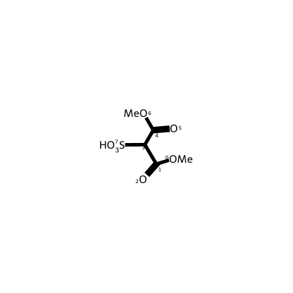 COC(=O)C(C(=O)OC)S(=O)(=O)O